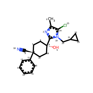 Cc1nc([C@]2(O)CC[C@@](C#N)(c3ccccc3)CC2)n(CC2CC2)c1Cl